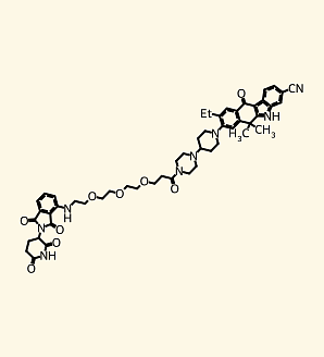 CCc1cc2c(cc1N1CCC(N3CCN(C(=O)CCOCCOCCOCCNc4cccc5c4C(=O)N(C4CCC(=O)NC4=O)C5=O)CC3)CC1)C(C)(C)c1[nH]c3cc(C#N)ccc3c1C2=O